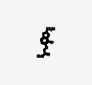 CCOC(=O)C1Cc2ccc(OCC(=O)NC)c(Br)c2C1